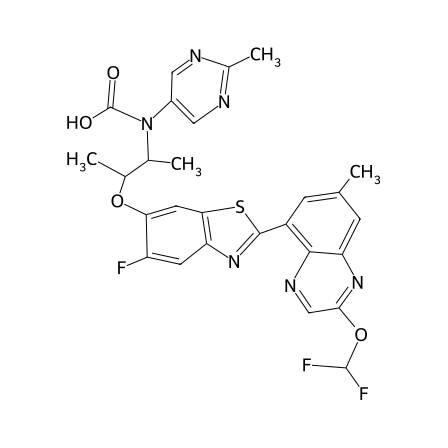 Cc1cc(-c2nc3cc(F)c(OC(C)C(C)N(C(=O)O)c4cnc(C)nc4)cc3s2)c2ncc(OC(F)F)nc2c1